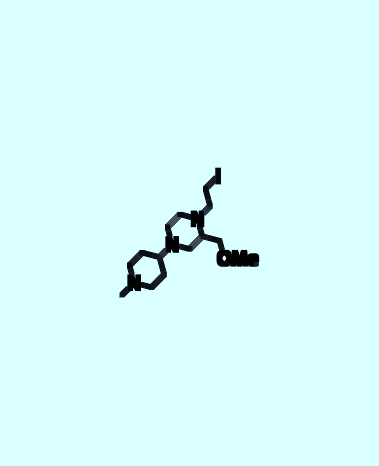 COCC1CN(C2CCN(C)CC2)CCN1CCI